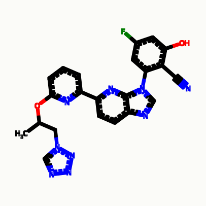 CC(Cn1cnnn1)Oc1cccc(-c2ccc3ncn(-c4cc(F)cc(O)c4C#N)c3n2)n1